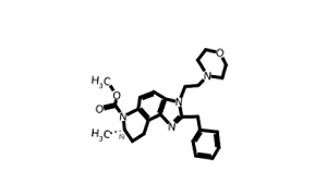 COC(=O)N1c2ccc3c(nc(Cc4ccccc4)n3CCN3CCOCC3)c2CC[C@@H]1C